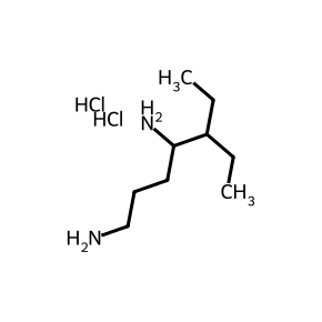 CCC(CC)C(N)CCCN.Cl.Cl